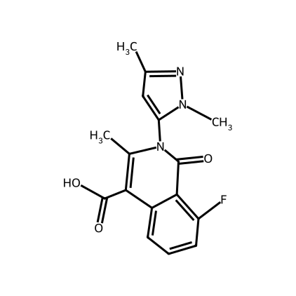 Cc1cc(-n2c(C)c(C(=O)O)c3cccc(F)c3c2=O)n(C)n1